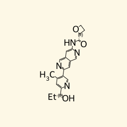 CC[C@@H](O)c1cc(C)c(-c2cc3cnc(NC(=O)[C@H]4CCO4)cc3cn2)cn1